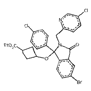 CCOC(=O)C1CC(OC2(c3ccc(Cl)cc3)c3ccc(Br)cc3C(=O)N2Cc2ccc(Cl)cn2)C1